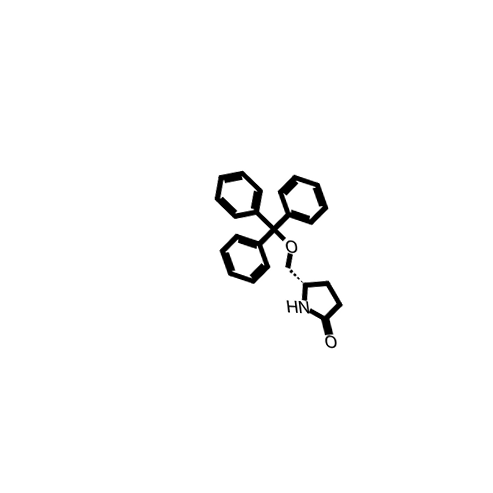 O=C1CC[C@@H](COC(c2ccccc2)(c2ccccc2)c2ccccc2)N1